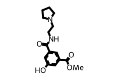 COC(=O)c1cc(O)cc(C(=O)NCCN2CCCC2)c1